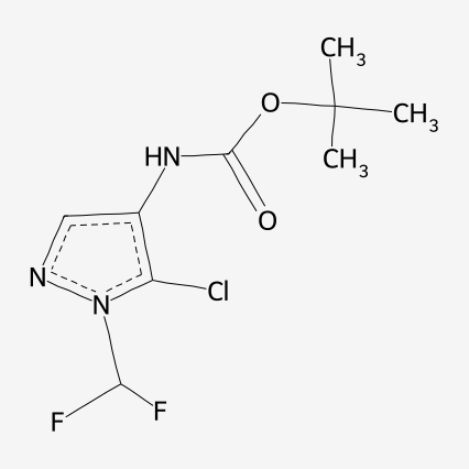 CC(C)(C)OC(=O)Nc1cnn(C(F)F)c1Cl